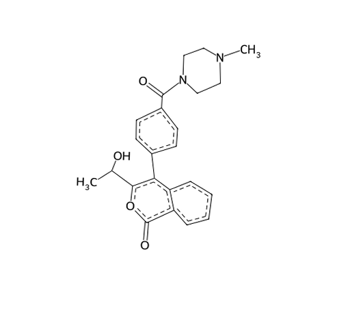 CC(O)c1oc(=O)c2ccccc2c1-c1ccc(C(=O)N2CCN(C)CC2)cc1